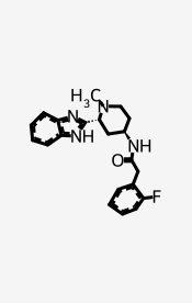 CN1CC[C@@H](NC(=O)Cc2ccccc2F)C[C@@H]1c1nc2ccccc2[nH]1